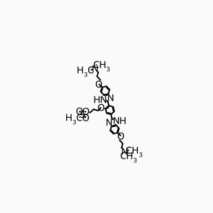 CN(C)CCCOc1ccc2nc(-c3ccc(-c4nc5ccc(OCCCN(C)C)cc5[nH]4)c(OCCCOS(C)(=O)=O)c3)[nH]c2c1